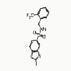 Cc1nc2cc(S(=O)(=O)NCc3ccccc3C(F)(F)F)ccc2s1